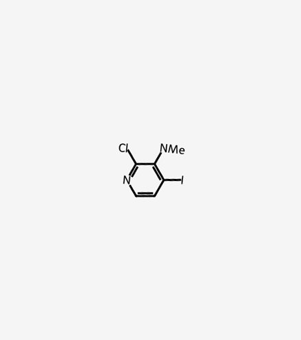 CNc1c(I)ccnc1Cl